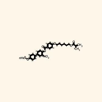 C=C(C)C(=O)OCCCCCCOc1ccc(C(=O)Oc2ccc(-c3ccc(OCCCCCC)cc3)cc2[N+](=O)[O-])cc1